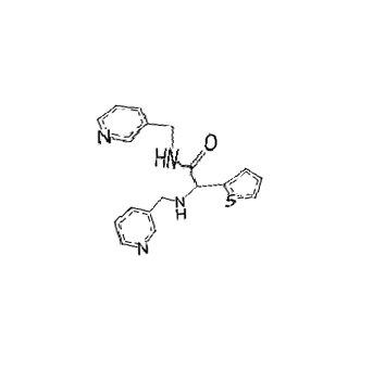 O=C(NCc1cccnc1)C(NCc1cccnc1)c1cccs1